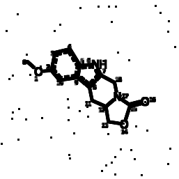 COc1ccc2[nH]c3c(c2c1)CC1COC(=O)N1C3